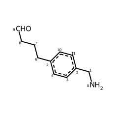 NCc1ccc(CCCC=O)cc1